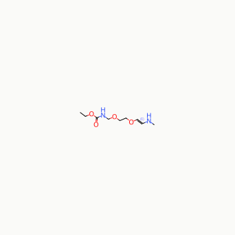 CCOC(=O)NCOCCO/C=C/NC